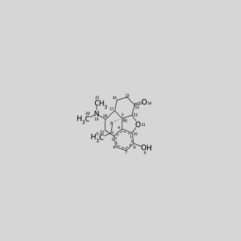 CCC[C@@]12c3c4ccc(O)c3OC1C(=O)CCC2C(N(C)C)C4